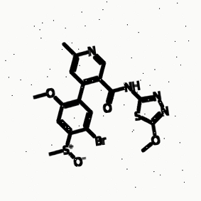 COc1nnc(NC(=O)c2cnc(C)cc2-c2cc(Br)c([S+](C)[O-])cc2OC)s1